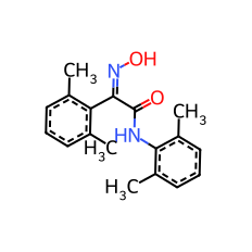 Cc1cccc(C)c1NC(=O)/C(=N\O)c1c(C)cccc1C